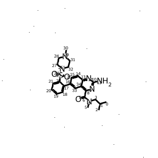 CC(C)CN(C)C(=O)c1nc(N)nc2ccc(-c3ccccc3S(=O)(=O)N3CCN(C)CC3)cc12